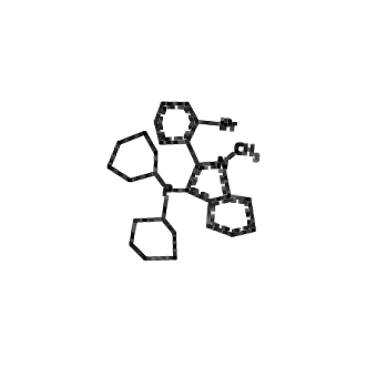 CC(C)c1ccccc1-c1c(P(C2CCCCC2)C2CCCCC2)c2ccccc2n1C